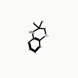 CC1(C)COC2=C(C=C=C=C2)N1